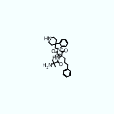 CC(C)(N)C(=O)N[C@H](CCCc1ccccc1)C(=O)[N+]1(S(C)(=O)=O)CC2(CCNCC2)c2ccccc21